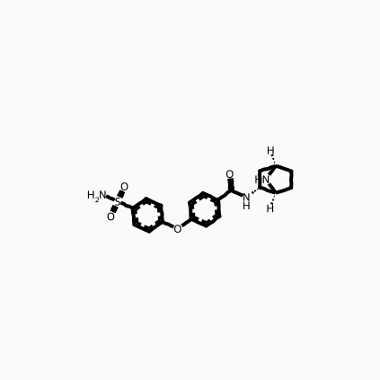 NS(=O)(=O)c1ccc(Oc2ccc(C(=O)N[C@@H]3C[C@H]4CC[C@@H]3N4)cc2)cc1